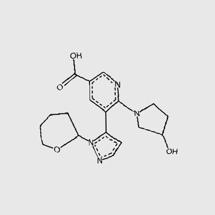 O=C(O)c1cnc(N2CCC(O)C2)c(-c2ccnn2C2CCCCO2)c1